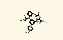 C=CC(=O)Nc1cccc(Oc2nc(Nc3cccc(N4CCN(C)CC4)c3)c(C(N)=O)nc2CC)c1